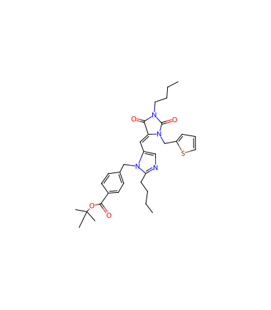 CCCCc1ncc(/C=C2/C(=O)N(CCCC)C(=O)N2Cc2cccs2)n1Cc1ccc(C(=O)OC(C)(C)C)cc1